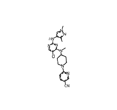 Cc1nn(C)cc1Nc1ncc(Cl)c(N(C)C2CCN(c3ccc(C#N)cn3)CC2)n1